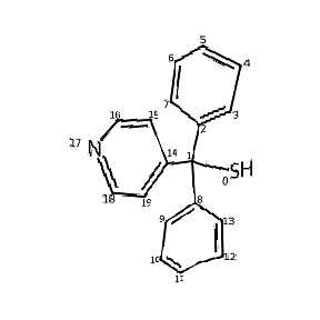 SC(c1ccccc1)(c1ccccc1)c1ccncc1